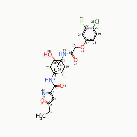 CCc1cc(C(=O)NC23CCC(NC(=O)COc4ccc(Cl)c(F)c4)(CC2)C(O)C3)no1